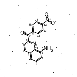 Nc1cccc2ccc(C(=O)c3ccc([N+](=O)[O-])cc3)nc12